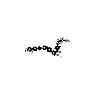 Cc1cc(C(=N)c2cc(-c3ccc(C4(C)CCN(C5CC(c6ccc(C7CCC(=O)NC7=O)cc6)C5)CC4)cc3)cnc2N)ccc1[C@@H](C)NC(=O)c1noc(C(C)(C)C)n1